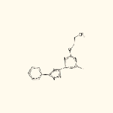 Cc1cc(-c2nnc(-c3ccccc3)s2)nc(OCCC(F)(F)F)n1